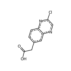 O=C(O)Cc1ccc2nc(Cl)cnc2c1